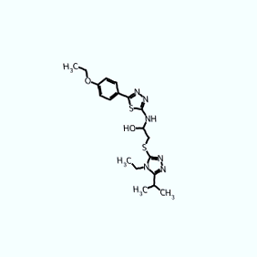 CCOc1ccc(-c2nnc(NC(O)CSc3nnc(C(C)C)n3CC)s2)cc1